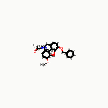 COC1=CC=C2[C@H]3Cc4ccc(OCc5ccccc5)c5c4[C@@]2(CCN3C(C)=O)[C@H]1O5